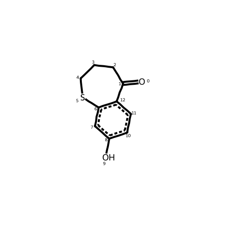 O=C1CCCSc2cc(O)ccc21